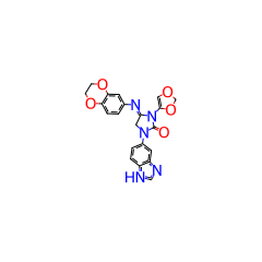 O=C1N(C2=COCO2)C(=Nc2ccc3c(c2)OCCO3)CN1c1ccc2[nH]cnc2c1